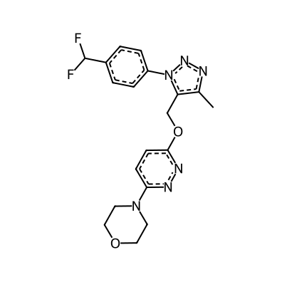 Cc1nnn(-c2ccc(C(F)F)cc2)c1COc1ccc(N2CCOCC2)nn1